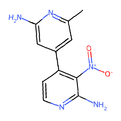 Cc1cc(-c2ccnc(N)c2[N+](=O)[O-])cc(N)n1